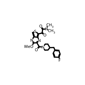 COc1nc2csc(C(=O)C(=O)N(C)C)c2nc1C(=O)N1CCC(Cc2ccc(F)cc2)CC1